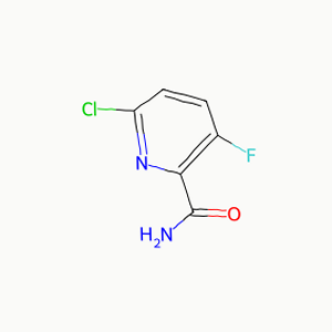 NC(=O)c1nc(Cl)ccc1F